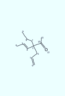 C=CCC(C=CC)(CCC)C(C)=O